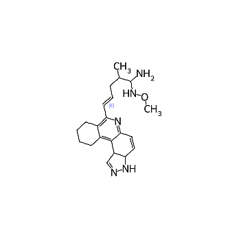 CONC(N)C(C)C/C=C/c1nc2c(c3c1CCCC3)C1C=NNC1C=C2